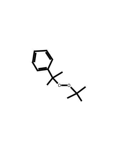 CC(C)(C)OOC(C)(C)c1c[c]ccc1